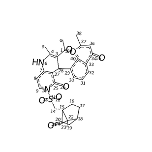 CC(=O)C1=C(C)Nc2ccn(S(=O)(=O)C[C@@]34CCC(CC3=O)C4(C)C)c(=O)c2C1c1cccc2c(=O)cc(C)oc12